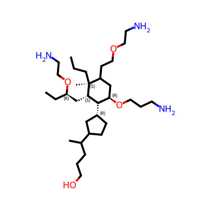 CCC[C@@]1(C)C(CCOCCN)C[C@@H](OCCCN)C([C@@H]2CCC(C(C)CCCO)C2)[C@@H]1C[C@@H](CC)OCCN